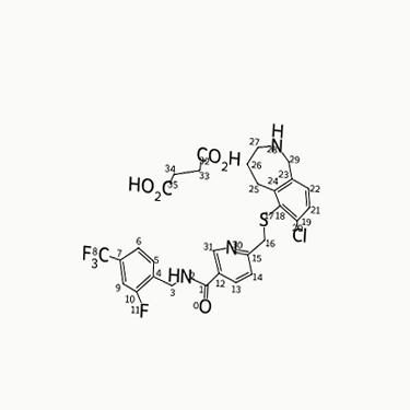 O=C(NCc1ccc(C(F)(F)F)cc1F)c1ccc(CSc2c(Cl)ccc3c2CCCNC3)nc1.O=C(O)CCC(=O)O